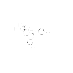 C[C@]12CCC3c4ccc(O)cc4C[C@@H](Sc4ccc(O)cc4)[C@H]3C1CC[C@@H]2O